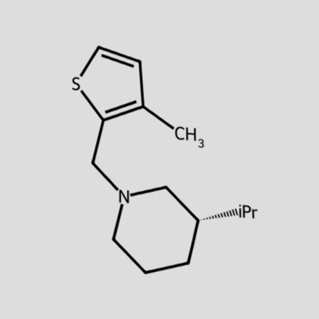 Cc1ccsc1CN1CCC[C@@H](C(C)C)C1